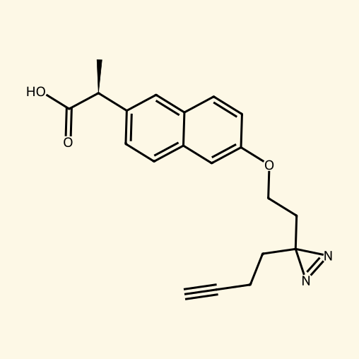 C#CCCC1(CCOc2ccc3cc([C@H](C)C(=O)O)ccc3c2)N=N1